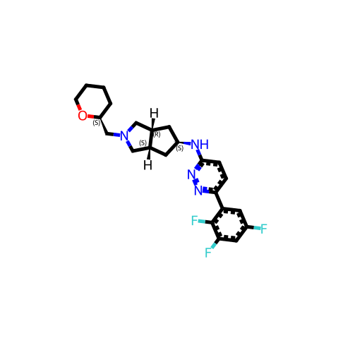 Fc1cc(F)c(F)c(-c2ccc(N[C@H]3C[C@@H]4CN(C[C@@H]5CCCCO5)C[C@@H]4C3)nn2)c1